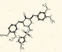 COc1ccc(/C=C2\CC(NS(=O)(=O)c3cn(C)cn3)C/C(=C\c3ccc(OC)c(OC)c3)C2=O)cc1OC